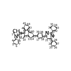 CCn1c2ccccc2c2cc3c4ccc(-c5ccc(-c6cc(-c7ccccc7)nc(-c7ccccc7)n6)cc5)cc4c4ccccc4c3cc21